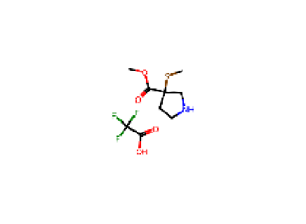 COC(=O)C1(SC)CCNC1.O=C(O)C(F)(F)F